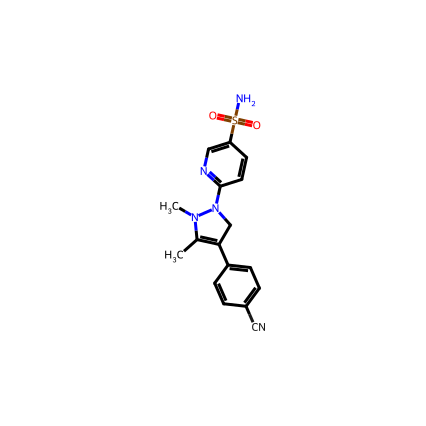 CC1=C(c2ccc(C#N)cc2)CN(c2ccc(S(N)(=O)=O)cn2)N1C